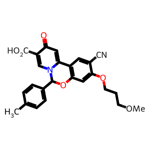 COCCCOc1cc2c(cc1C#N)-c1cc(=O)c(C(=O)O)cn1C(c1ccc(C)cc1)O2